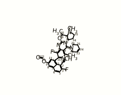 C#Cc1c(F)ccc2cc(OC=O)cc(-c3nc(C)c4c(N5CC=CCC5)nc(OC(C)C5CCCN5C)nc4c3F)c12